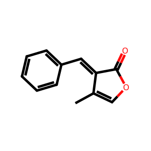 CC1=COC(=O)C1=Cc1ccccc1